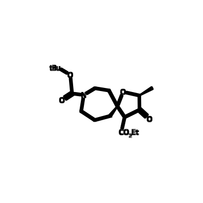 CCOC(=O)C1C(=O)[C@H](C)O[C@]12CCCN(C(=O)OC(C)(C)C)CC2